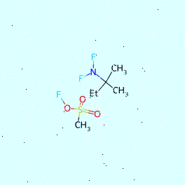 CCC(C)(C)N(F)F.CS(=O)(=O)OF